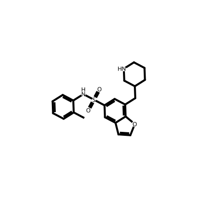 Cc1ccccc1NS(=O)(=O)c1cc(CC2CCCNC2)c2occc2c1